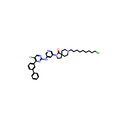 O=C1N(c2cncc(Nc3ncc(Cl)c(-c4cccc(-c5ccccc5)c4)n3)c2)CCC12CCN(CCCCCCCCCBr)CC2